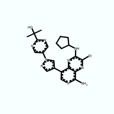 CCc1nc2c(N)ncc(-c3cnn(-c4cnc(C(C)(C)O)nc4)c3)c2nc1NC1CCCC1